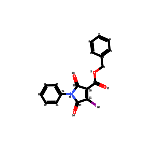 O=C(OCc1ccccc1)C1=C(I)C(=O)N(c2ccccc2)C1=O